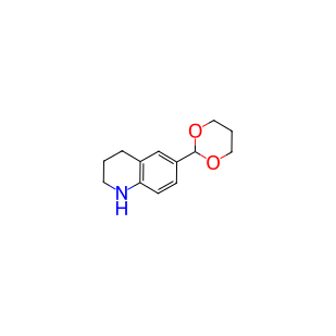 c1cc2c(cc1C1OCCCO1)CCCN2